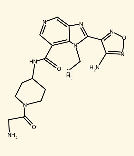 CCn1c(-c2nonc2N)nc2cncc(C(=O)NC3CCN(C(=O)CN)CC3)c21